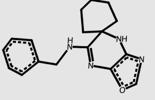 c1ccc(CNC2=Nc3ocnc3NC23CCCCC3)cc1